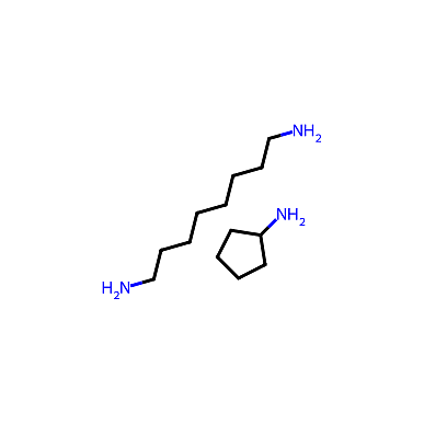 NC1CCCC1.NCCCCCCCCN